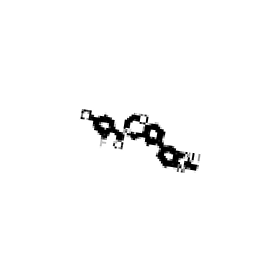 Cc1nc2ccc(-c3ccc4c(c3)CN(C(=O)c3ccc(Cl)cc3F)CCO4)cc2[nH]1